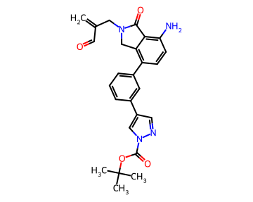 C=C(C=O)CN1Cc2c(-c3cccc(-c4cnn(C(=O)OC(C)(C)C)c4)c3)ccc(N)c2C1=O